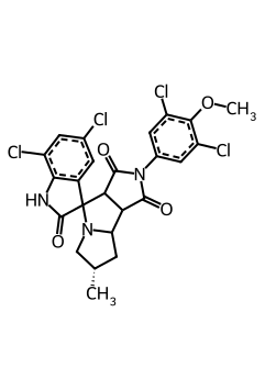 COc1c(Cl)cc(N2C(=O)C3C4C[C@H](C)CN4C4(C(=O)Nc5c(Cl)cc(Cl)cc54)C3C2=O)cc1Cl